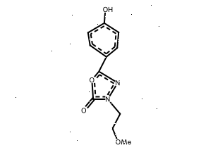 COCCn1nc(-c2ccc(O)cc2)oc1=O